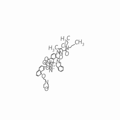 CCCCN(CCCC)C(=O)c1nn(-c2ccc(C(=O)NS(=O)(=O)c3ccc4cccc(OCCN5CCOCC5)c4c3)cc2C(=O)N2Cc3ccccc3C[C@H]2CN=[N+]=[N-])c(C)c1Cl